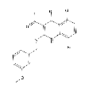 COc1cccc(CSc2[nH]c3c(Br)ccc(Cl)c3c(=O)c2C(C)=O)c1